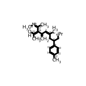 C=C(/C=C(/C)CC(CC(C)C)c1ccc(C)cc1)C(/C(C)=N\C)=C(\C)O